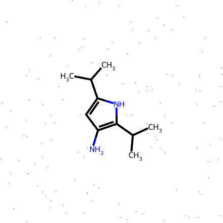 CC(C)c1cc(N)c(C(C)C)[nH]1